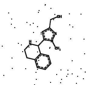 Cn1nc(CO)cc1C1NCCc2ccccc21